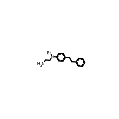 CCN(CCN)c1ccc(CCc2c[c]ccc2)cc1